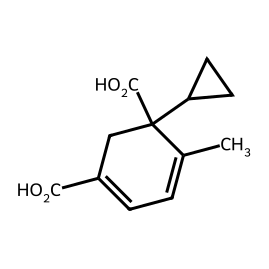 CC1=CC=C(C(=O)O)CC1(C(=O)O)C1CC1